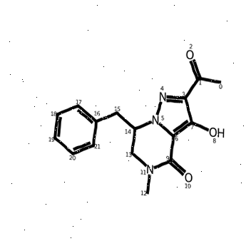 CC(=O)c1nn2c(c1O)C(=O)N(C)CC2Cc1ccccc1